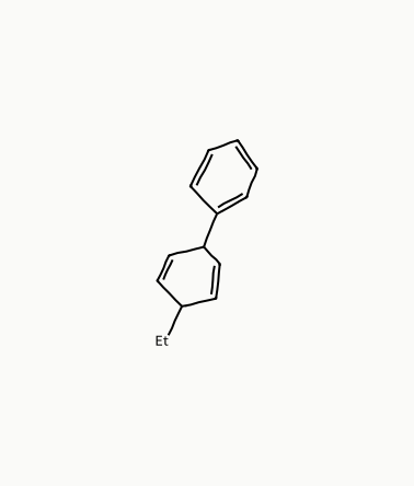 CC[C]1C=CC(c2ccccc2)C=C1